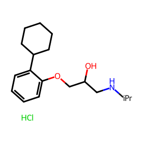 CC(C)NCC(O)COc1ccccc1C1CCCCC1.Cl